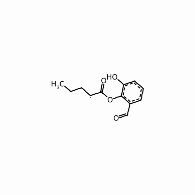 CCC[CH]C(=O)Oc1c(O)cccc1C=O